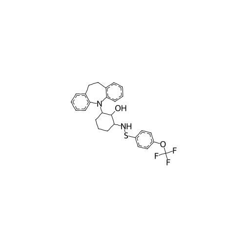 OC1C(NSc2ccc(OC(F)(F)F)cc2)CCCC1N1c2ccccc2CCc2ccccc21